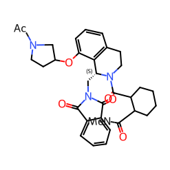 CNC(=O)C1CCCCC1C(=O)N1CCc2cccc(OC3CCN(C(C)=O)C3)c2[C@H]1CN1C(=O)c2ccccc2C1=O